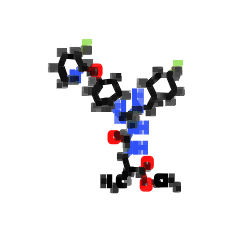 COC(=O)[C@@H](C)CNC(=O)NC(NCC1=CCC(F)CC1)NC1=CC=C(OC2=NC=CCC2F)CC1